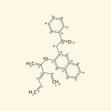 C=C/C=C(\C=C)C(=C)Oc1cc2ccccc2cc1CC(=O)c1ccccc1